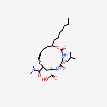 CCCCCCCC1CCC=CCC(C(=O)N(C)C)C[C@@H](C(=O)O)NC(=O)[C@H](CC(C)C)NC(=O)O1